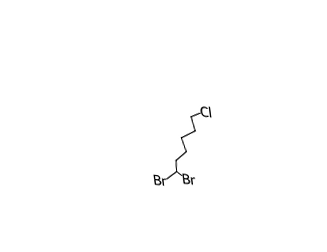 ClCCCCCC(Br)Br